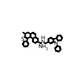 CC1Cc2ccc3cc(C(N)NCc4ccc5c6ccccc6n(-c6ccccc6)c5c4)ccc3c2-c2c1sc1ccccc21